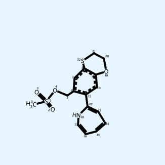 CS(=O)(=O)OCc1cc2c(cc1C1=CC=CC=CN1)OCCS2